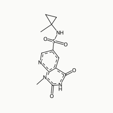 Cn1c(=O)[nH]c(=O)c2cc(S(=O)(=O)NC3(C)CC3)cnc21